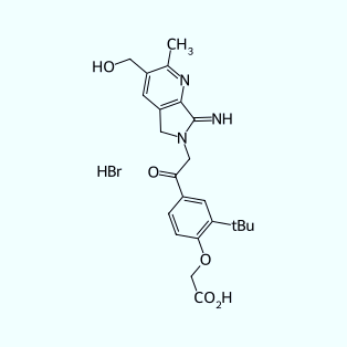 Br.Cc1nc2c(cc1CO)CN(CC(=O)c1ccc(OCC(=O)O)c(C(C)(C)C)c1)C2=N